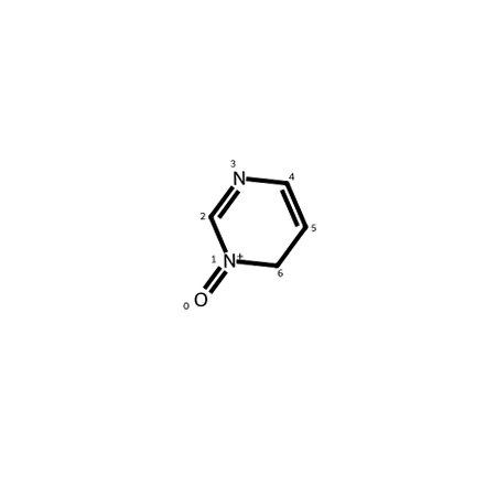 O=[N+]1C=NC=CC1